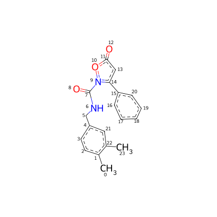 Cc1ccc(CNC(=O)n2oc(=O)cc2-c2ccccc2)cc1C